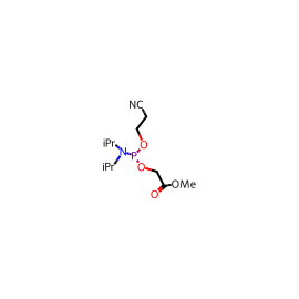 COC(=O)COP(OCCC#N)N(C(C)C)C(C)C